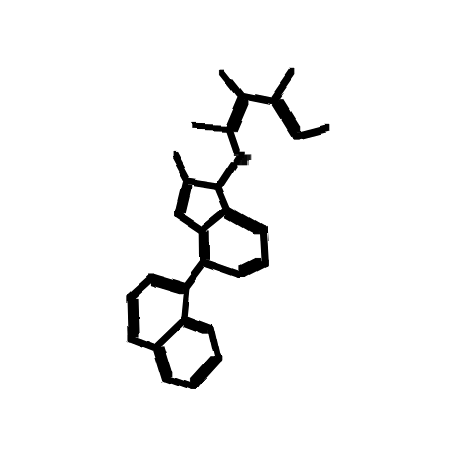 CC=C(C)C(C)=[C](C)[Zr][CH]1C(C)=Cc2c(-c3cccc4ccccc34)cccc21